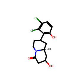 O=C1CC(O)C[C@@H]2CC(c3c(O)ccc(Cl)c3Cl)CCN12